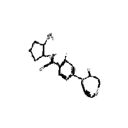 NC1CCCC1NC(=O)c1ccc(-n2ccncc2=O)cc1F